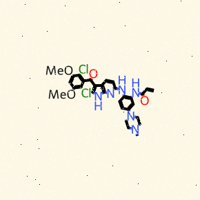 C=CC(=O)Nc1cc(N2CCN(C)CC2)ccc1Nc1ccc2c(C(=O)c3c(Cl)c(OC)cc(OC)c3Cl)c[nH]c2n1